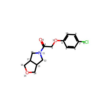 O=C(COc1ccc(Cl)cc1)N1CC2COCC2C1